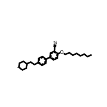 CCCCCCCCOc1ccc(-c2ccc(CCC3CC[CH]CC3)cc2)cc1C#N